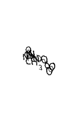 Cc1cc(N2CCC(Oc3ccc4c(c3)OCCO4)CC2)nn2c(=O)ccnc12